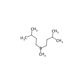 CB(CCC(C)C)CCC(C)C